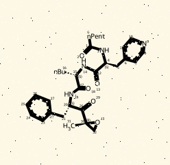 CCCCCC(=O)N[C@@H](Cc1ccncc1)C(=O)N[C@@H](CCCC)C(=O)N[C@@H](Cc1ccccc1)C(=O)[C@@]1(C)CO1